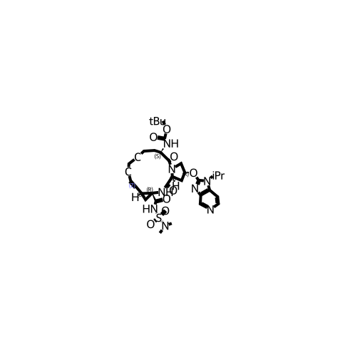 CC(C)n1c(O[C@@H]2C[C@H]3C(=O)N[C@]4(C(=O)NS(=O)(=O)N(C)C)C[C@H]4/C=C\CCCCC[C@H](NC(=O)OC(C)(C)C)C(=O)N3C2)nc2cnccc21